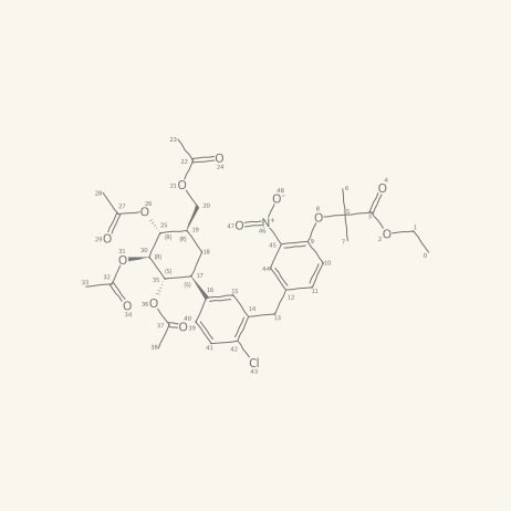 CCOC(=O)C(C)(C)Oc1ccc(Cc2cc([C@@H]3C[C@H](COC(C)=O)[C@@H](OC(C)=O)[C@H](OC(C)=O)[C@H]3OC(C)=O)ccc2Cl)cc1[N+](=O)[O-]